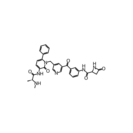 CN[C@@H](C)C(=O)Nc1ccc(-c2ccccc2)n(Cc2cncc(C(=O)c3cccc(NC(=O)C4CC(=O)N4)c3)c2)c1=O